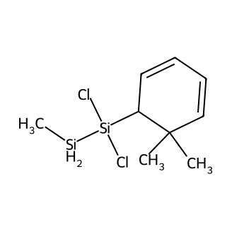 C[SiH2][Si](Cl)(Cl)C1C=CC=CC1(C)C